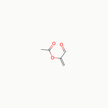 C=C([C]=O)OC(C)=O